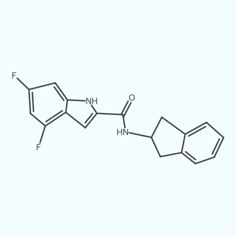 O=C(NC1Cc2ccccc2C1)c1cc2c(F)cc(F)cc2[nH]1